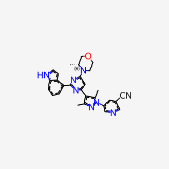 Cc1nn(-c2cncc(C#N)c2)c(C)c1-c1cc(N2CCOC[C@H]2C)nc(-c2cccc3[nH]ccc23)n1